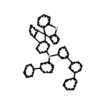 c1ccc(-c2cccc(-c3cccc(N(c4cccc(-c5ccccc5)c4)c4ccc5c(c4)C4(c6ccccc6Oc6ccccc64)c4ccccc4-5)c3)c2)cc1